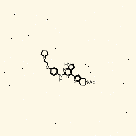 CC(=O)N1CCc2sc(-c3nc(Nc4ccc(OCCN5CCCC5)cc4)nc4[nH]ccc34)cc2C1